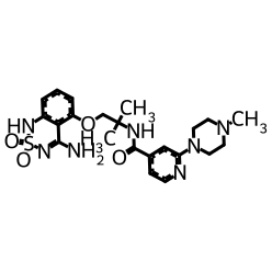 CN1CCN(c2cc(C(=O)NC(C)(C)COc3cccc4c3C(N)=NS(=O)(=O)N4)ccn2)CC1